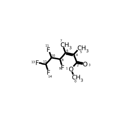 COC(=O)C(C)=C(C)C(F)C(F)C(F)F